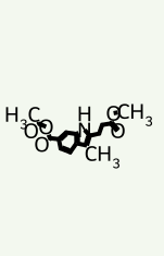 COC(=O)CCc1[nH]c2cc(C(=O)OC(C)=O)ccc2c1C